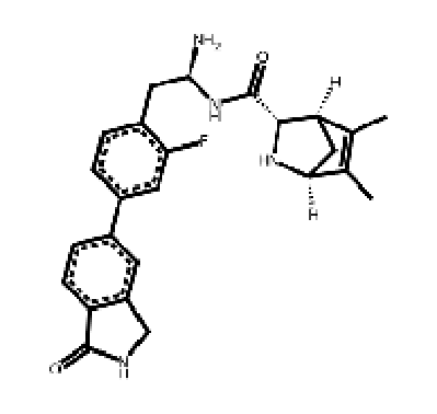 CC1=C(C)[C@H]2C[C@@H]1N[C@@H]2C(=O)N[C@H](N)Cc1ccc(-c2ccc3c(c2)CNC3=O)cc1F